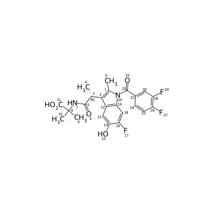 Cc1c([C@@H](C)C(=O)NC(C)(C)C(=O)O)c2cc(O)c(F)cc2n1C(=O)c1ccc(F)c(F)c1